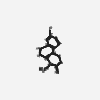 CN1C(=O)CCC2c3ccc(I)cc3CCC21